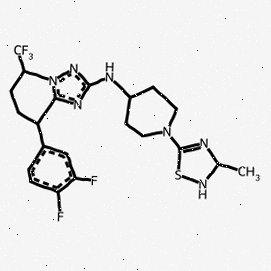 CC1N=C(N2CCC(Nc3nc4n(n3)C(C(F)(F)F)CCC4c3ccc(F)c(F)c3)CC2)SN1